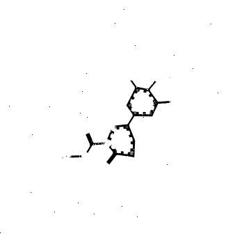 CCCCOC(=O)n1nc(-c2cc(Cl)c(OC)c(Cl)c2)ccc1=O